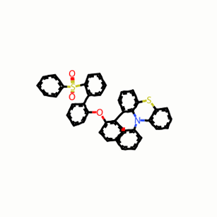 O=S(=O)(c1ccccc1)c1ccccc1-c1ccccc1Oc1ccccc1-c1cccc2c1N(c1ccccc1)c1ccccc1S2